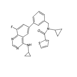 O=C(c1cccs1)N(Cc1cccc(-c2cc(F)c3ncnc(NC4CC4)c3c2)c1)C1CC1